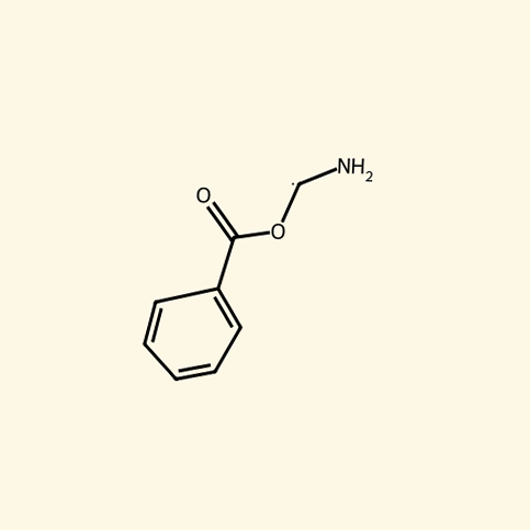 N[CH]OC(=O)c1ccccc1